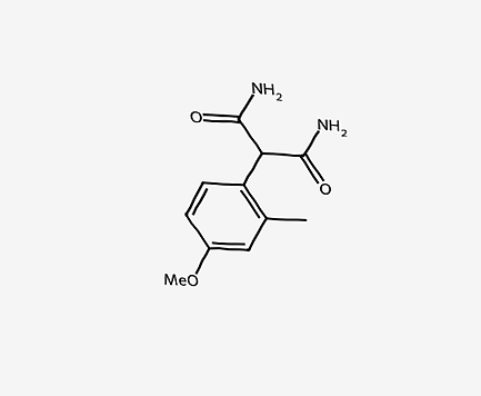 COc1ccc(C(C(N)=O)C(N)=O)c(C)c1